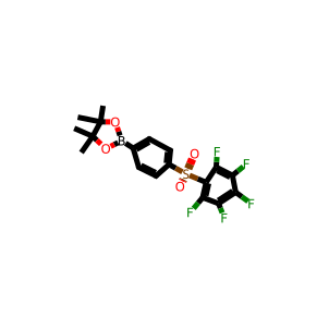 CC1(C)OB(c2ccc(S(=O)(=O)c3c(F)c(F)c(F)c(F)c3F)cc2)OC1(C)C